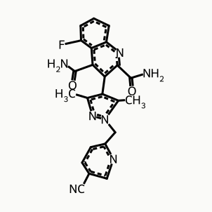 Cc1nn(Cc2ccc(C#N)cn2)c(C)c1-c1c(C(N)=O)nc2cccc(F)c2c1C(N)=O